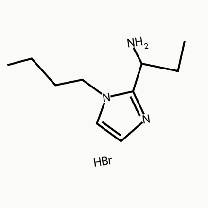 Br.CCCCn1ccnc1C(N)CC